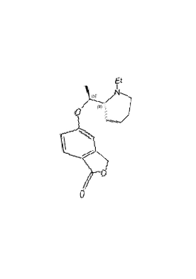 CCN1CCCC[C@@H]1[C@H](C)Oc1ccc2c(c1)COC2=O